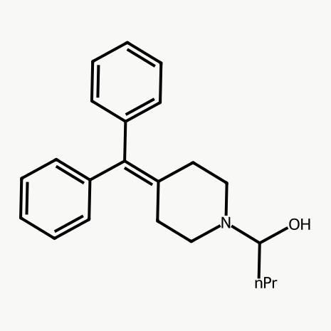 CCCC(O)N1CCC(=C(c2ccccc2)c2ccccc2)CC1